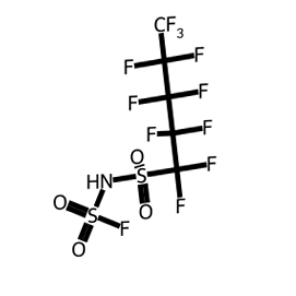 O=S(=O)(F)NS(=O)(=O)C(F)(F)C(F)(F)C(F)(F)C(F)(F)C(F)(F)F